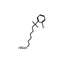 CCCCCCCCCCCCCCCC(C)(C)c1ccccc1[S]